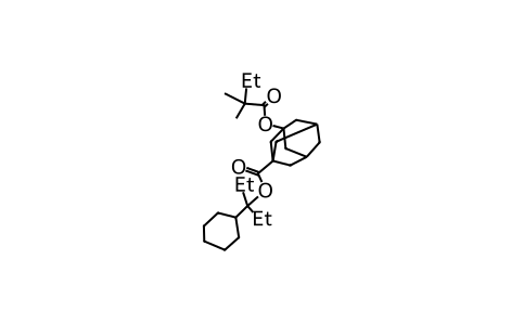 CCC(C)(C)C(=O)OC12CC3CC(C1)CC(C(=O)OC(CC)(CC)C1CCCCC1)(C3)C2